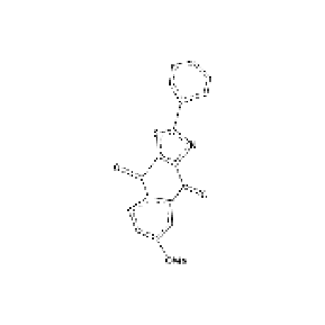 COc1ccc2c(c1)C(=O)c1nc(-c3ccccc3)sc1C2=O